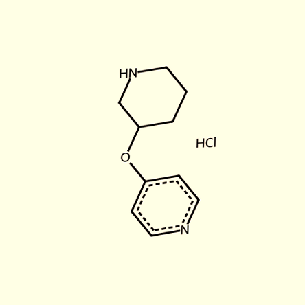 Cl.c1cc(OC2CCCNC2)ccn1